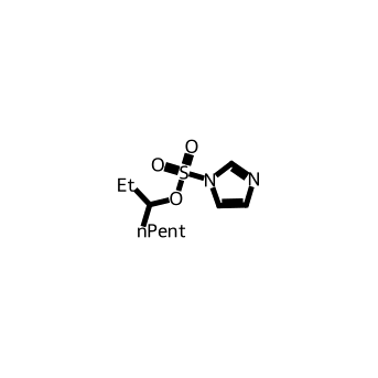 CCCCCC(CC)OS(=O)(=O)n1ccnc1